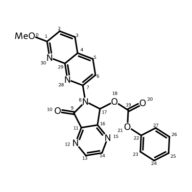 COc1ccc2ccc(N3C(=O)c4nccnc4C3OC(=O)Oc3ccccc3)nc2n1